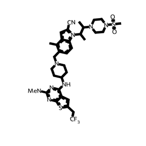 CNc1nc(NC2CCN(Cc3ccc4c(cc(C#N)n4C(C)C(C)N4CCN(S(C)(=O)=O)CC4)c3C)CC2)c2cc(CC(F)(F)F)sc2n1